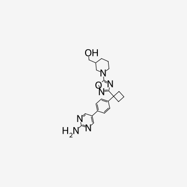 Nc1ncc(-c2ccc(C3(c4noc(N5CCCC(CO)C5)n4)CCC3)cc2)cn1